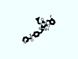 CN(C(=O)c1cccnc1)c1ccc(Cc2nc3c([nH]2)c(=O)n(Cc2ccccc2F)c(=O)n3CC2CC2)cc1